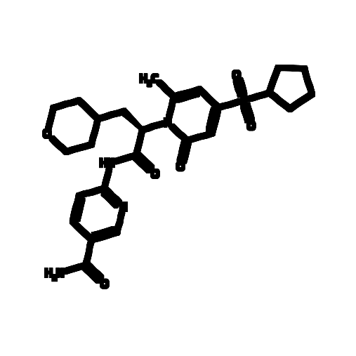 Cc1cc(S(=O)(=O)C2CCCC2)cc(=O)n1[C@H](CC1CCOCC1)C(=O)Nc1ccc(C(N)=O)cn1